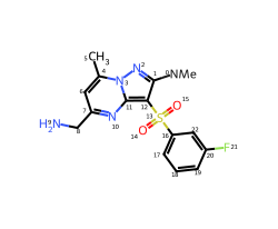 CNc1nn2c(C)cc(CN)nc2c1S(=O)(=O)c1cccc(F)c1